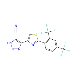 N#Cc1[nH]nnc1-c1csc(-c2ccc(C(F)(F)F)cc2C(F)(F)F)n1